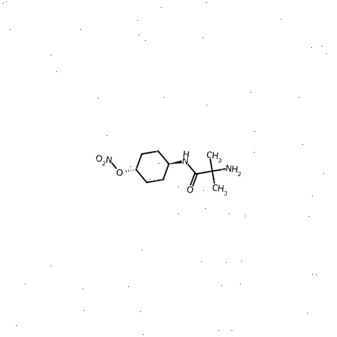 CC(C)(N)C(=O)N[C@H]1CC[C@H](O[N+](=O)[O-])CC1